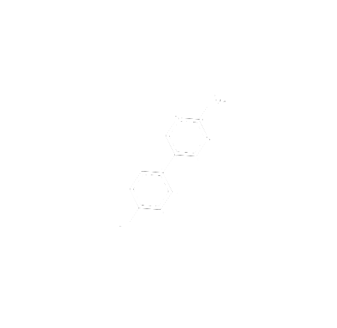 CCCC(C)c1ccc(-c2cnc(OC)nc2)cc1